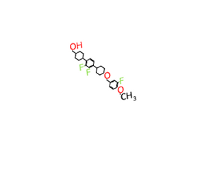 CCOc1ccc(COC2CCC(c3ccc(C4CCC(CO)CC4)c(F)c3F)CC2)cc1F